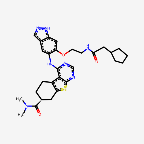 CN(C)C(=O)[C@H]1CCc2c(sc3ncnc(Nc4cc5cn[nH]c5cc4OCCNC(=O)CC4CCCC4)c23)C1